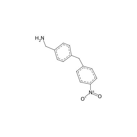 NCc1ccc(Cc2ccc([N+](=O)[O-])cc2)cc1